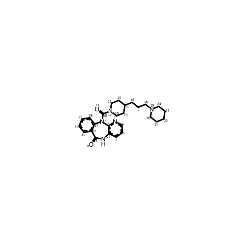 O=C1Nc2cccnc2N(C(=O)N2CCC(CCCN3CCCCC3)CC2)c2ccccc21